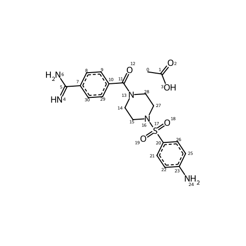 CC(=O)O.N=C(N)c1ccc(C(=O)N2CCN(S(=O)(=O)c3ccc(N)cc3)CC2)cc1